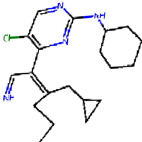 CCC/C(CC1CC1)=C(\C=N)c1nc(NC2CCCCC2)ncc1Cl